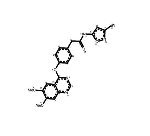 COc1cc2ncnc(Oc3ccc(CC(=O)Nc4cc(C(C)C)no4)cc3)c2cc1OC